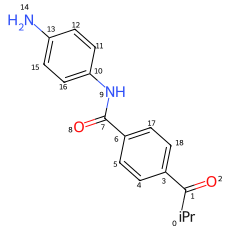 CC(C)C(=O)c1ccc(C(=O)Nc2ccc(N)cc2)cc1